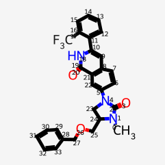 CN1C(=O)N(c2ccc3cc(-c4ccccc4C(F)(F)F)[nH]c(=O)c3c2)CC1COCc1ccccc1